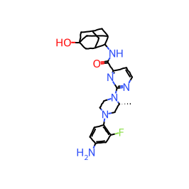 C[C@@H]1CN(c2ccc(N)cc2F)CCN1c1nccc(C(=O)NC2C3CC4CC2CC(O)(C4)C3)n1